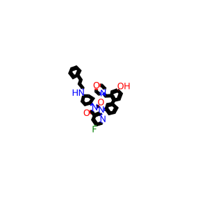 O=c1c2cc(F)cnc2n(-c2cccc(-c3ccc(O)cc3CN3CCOCC3)c2)c(=O)n1C1CCC(NCCCc2ccccc2)CC1